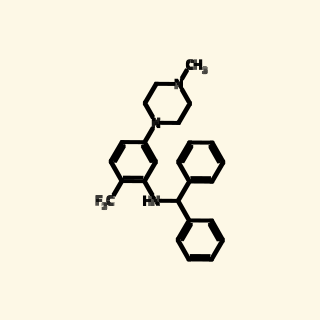 CN1CCN(c2ccc(C(F)(F)F)c(NC(c3ccccc3)c3ccccc3)c2)CC1